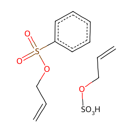 C=CCOS(=O)(=O)O.C=CCOS(=O)(=O)c1ccccc1